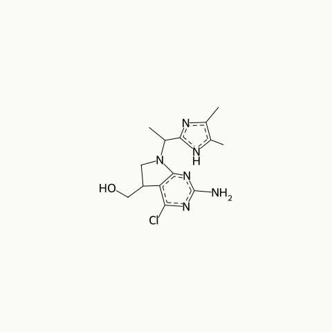 Cc1nc(C(C)N2CC(CO)c3c(Cl)nc(N)nc32)[nH]c1C